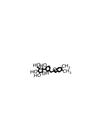 Cc1cc2cc(Cc3ccc(O)c(C4OC(CO)[C@@H](O)[C@H](O)[C@H]4O)c3)oc2cc1C